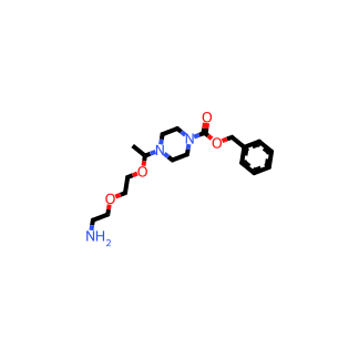 CC(OCCOCCN)N1CCN(C(=O)OCc2ccccc2)CC1